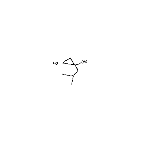 CC(=O)OC1(CN(C)C)CC1.Cl